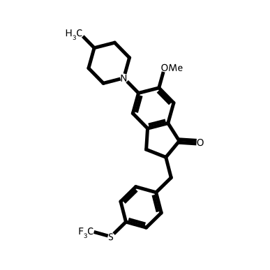 COc1cc2c(cc1N1CCC(C)CC1)CC(Cc1ccc(SC(F)(F)F)cc1)C2=O